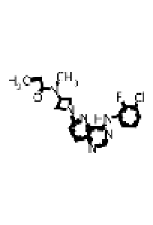 C=CC(=O)N(C)C1CN(c2ccc3ncnc(Nc4cccc(Cl)c4F)c3n2)C1